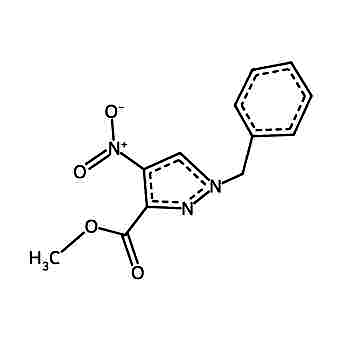 COC(=O)c1nn(Cc2ccccc2)cc1[N+](=O)[O-]